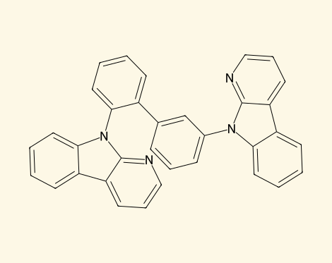 c1cc(-c2ccccc2-n2c3ccccc3c3cccnc32)cc(-n2c3ccccc3c3cccnc32)c1